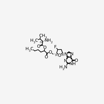 CCCCC(OC(=O)[C@@H](N)C(C)C)C(=O)OC[C@H]1O[C@@H](n2cnc3c(=O)[nH]c(N)nc32)CC1F